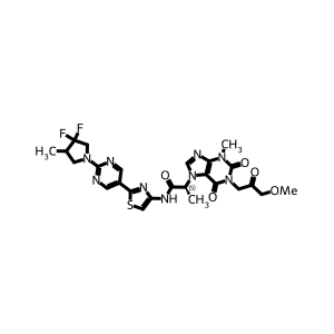 COCC(=O)Cn1c(=O)c2c(ncn2[C@@H](C)C(=O)Nc2csc(-c3cnc(N4CC(C)C(F)(F)C4)nc3)n2)n(C)c1=O